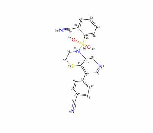 N#Cc1ccc(-c2cncc3c2SCCN3S(=O)(=O)c2ccccc2C#N)cc1